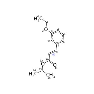 CCOc1cccc(/C=C/C(=O)OC(C)C)c1